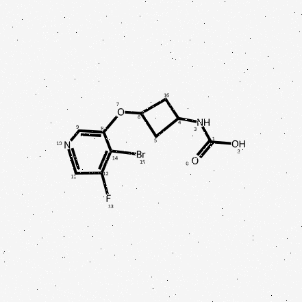 O=C(O)NC1CC(Oc2cncc(F)c2Br)C1